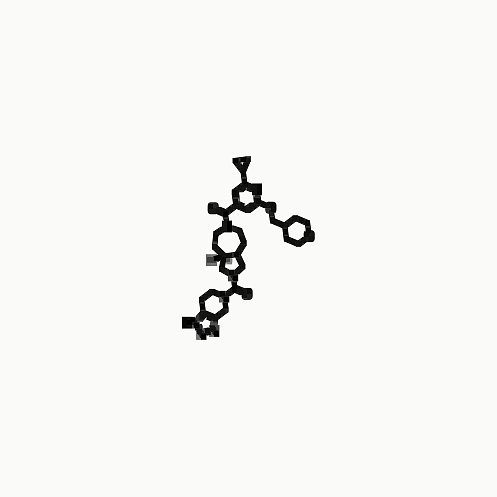 O=C(c1cc(OCC2CCOCC2)nc(C2CC2)c1)N1CCC2CN(C(=O)N3CCc4[nH]nnc4C3)C[C@@H]2CC1